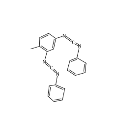 Cc1ccc(N=C=Nc2ccccc2)cc1N=C=Nc1ccccc1